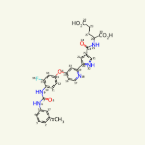 Cc1cccc(NC(=O)Nc2ccc(Oc3ccnc(-c4cc(C(=O)NC(CCC(=O)O)C(=O)O)c[nH]4)c3)cc2F)c1